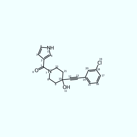 O=C(c1cc[nH]c1)N1CCC(O)(C#Cc2cccc(Cl)c2)CC1